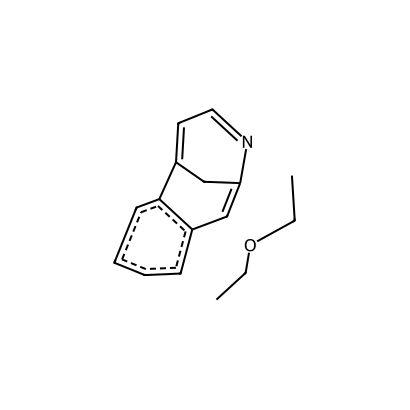 C1=NC2=Cc3ccccc3C(=C1)C2.CCOCC